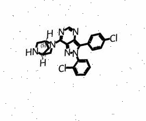 Clc1ccc(-c2c3ncnc(N4C[C@@H]5C[C@H]4CN5)c3nn2-c2ccccc2Cl)cc1